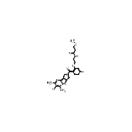 COCCC(=O)NCCOc1cc(F)ccc1C(=O)N1Cc2nn3c(C)c(Cl)c(C)nc3c2C1